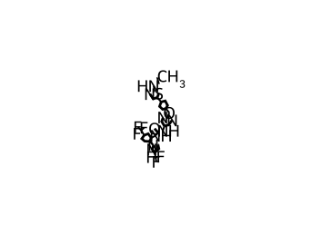 CCCNc1ncc(-c2ccc(Oc3ncc(NC(=O)Nc4cc(C(F)(F)F)ccc4-n4ccc(C(F)(F)F)n4)cn3)cc2)s1